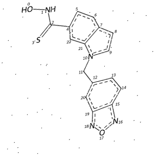 ONC(=S)c1ccc2ccn(Cc3ccc4nonc4c3)c2c1